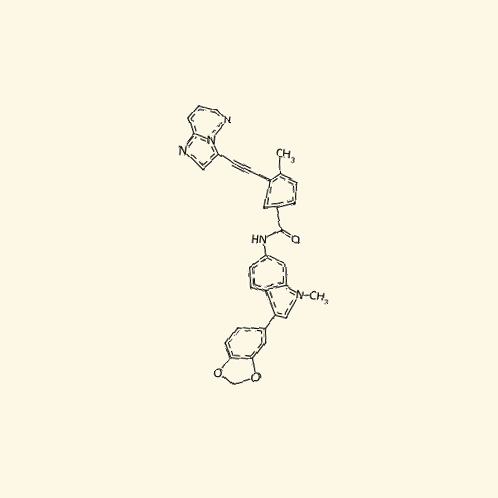 Cc1ccc(C(=O)Nc2ccc3c(-c4ccc5c(c4)OCO5)cn(C)c3c2)cc1C#Cc1cnc2cccnn12